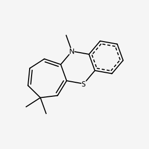 CN1C2=CC=CC(C)(C)C=C2Sc2ccccc21